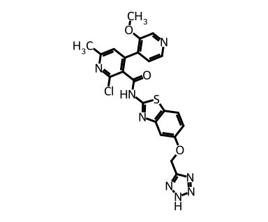 COc1cnccc1-c1cc(C)nc(Cl)c1C(=O)Nc1nc2cc(OCc3nn[nH]n3)ccc2s1